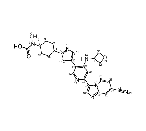 CN(C(=O)O)C1CCC(c2nnc(-c3cnc(-c4ccc5cc(C#N)cnn45)cc3NC3COC3)s2)CC1